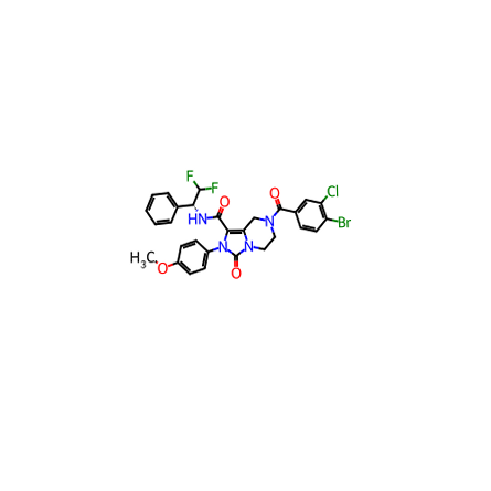 COc1ccc(-n2c(C(=O)N[C@H](c3ccccc3)C(F)F)c3n(c2=O)CCN(C(=O)c2ccc(Br)c(Cl)c2)C3)cc1